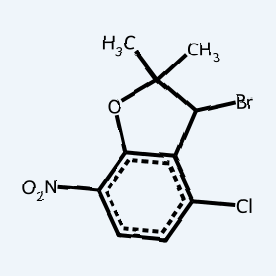 CC1(C)Oc2c([N+](=O)[O-])ccc(Cl)c2C1Br